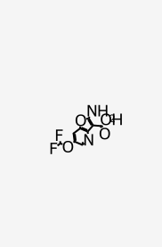 Nc1oc2cc(OC(F)F)cnc2c1C(=O)O